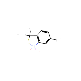 CC1(C)S[N+]([O-])([O-])c2cc([N+](=O)[O-])ccc21